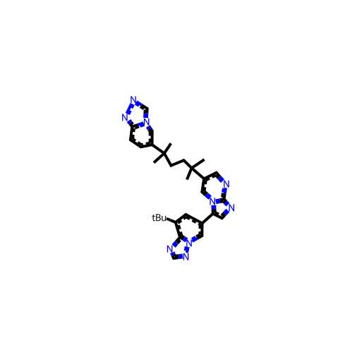 CC(C)(C)c1cc(-c2cnc3ncc(C(C)(C)CCC(C)(C)c4ccc5nncn5c4)cn23)cn2ncnc12